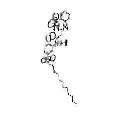 CCCCCCCCCCCCS(=O)(=O)c1ccc(OC)c(NC(=O)CC2=Nc3ccccc3S(=O)(=O)N2C)c1